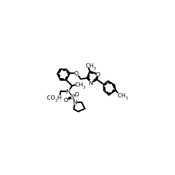 Cc1ccc(-c2nc(COc3ccccc3C(C)N(CC(=O)O)S(=O)(=O)N3CCCC3)c(C)o2)cc1